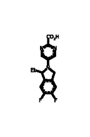 CCC1c2cc(F)c(F)cc2CN1c1cnc(C(=O)O)nc1